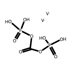 O=C(OP(=O)(O)O)OP(=O)(O)O.[V].[V]